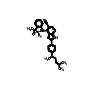 CN(C)CCN(C)c1ccc(-c2cc3c(Nc4ccccc4P(C)(C)=O)c(C#N)cnc3[nH]2)cc1